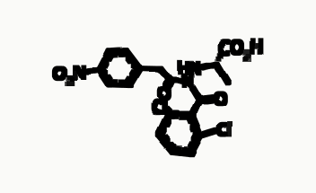 C[C@H](NN(C(=O)Cc1ccc([N+](=O)[O-])cc1)C(=O)c1c(Cl)cccc1Cl)C(=O)O